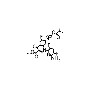 CCOC(=O)c1cn(-c2nc(N)c(F)cc2F)c2cc(N3CC(OC(=O)C(C)C)C3)c(F)cc2c1=O